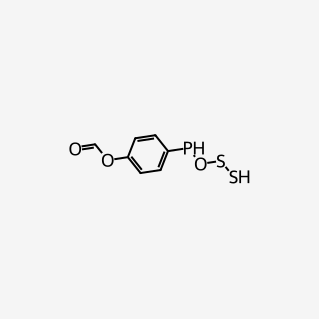 O=COc1ccc(POSS)cc1